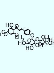 COc1cc(O)c(C(=O)/C=C/c2ccc(OC3OC(CO)C(O)C(O)C3OC3OCC(O)(CO)C3O)cc2)c(OC)c1